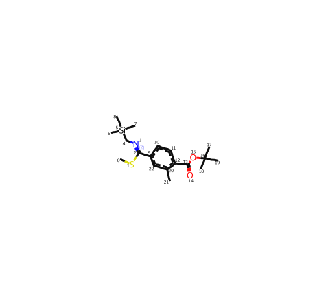 CS/C(=N\C[Si](C)(C)C)c1ccc(C(=O)OC(C)(C)C)c(C)c1